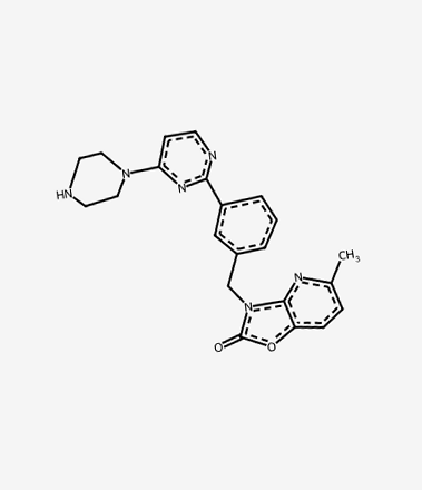 Cc1ccc2oc(=O)n(Cc3cccc(-c4nccc(N5CCNCC5)n4)c3)c2n1